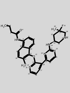 CCCC(=O)Nc1cccc2c(Oc3ncccc3-c3ccnc(N[C@@H]4CNC[C@@](C)(F)C4)n3)c(C)ccc12